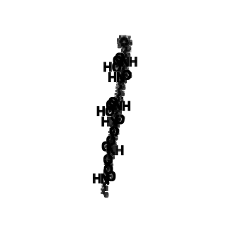 CCCCCNC(=O)COCCOCCNC(=O)COCCOCCNC(=O)CC[C@H](NC(=O)CCCCCCCNC(=O)CC[C@H](NC(=O)CCCc1ccccc1)C(=O)O)C(=O)O